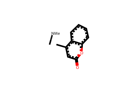 CNC.Cc1cc(=O)oc2ccccc12